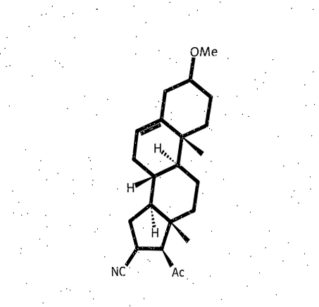 COC1CC[C@@]2(C)C(=CC[C@H]3[C@@H]4CC(C#N)[C@H](C(C)=O)[C@@]4(C)CC[C@@H]32)C1